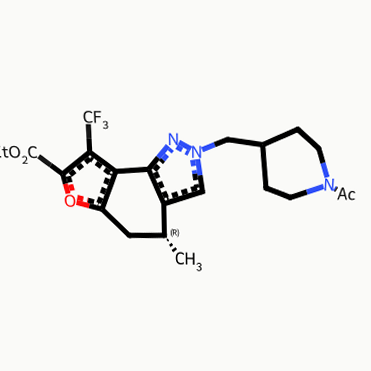 CCOC(=O)c1oc2c(c1C(F)(F)F)-c1nn(CC3CCN(C(C)=O)CC3)cc1[C@H](C)C2